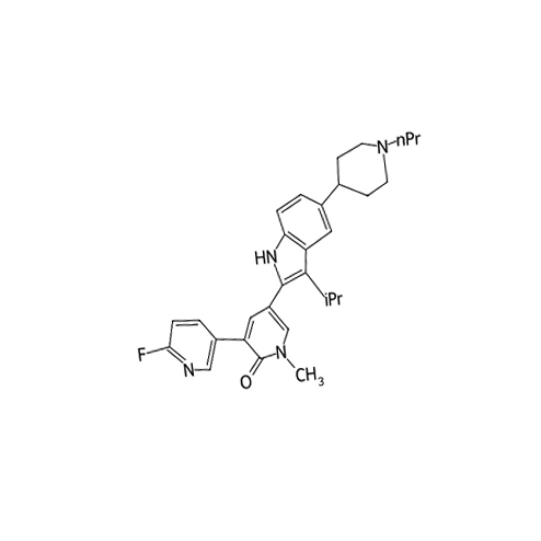 CCCN1CCC(c2ccc3[nH]c(-c4cc(-c5ccc(F)nc5)c(=O)n(C)c4)c(C(C)C)c3c2)CC1